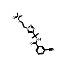 CC(C)(NC(=O)c1cccc(C#N)c1)c1cn(CCOS(C)(=O)=O)nn1